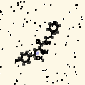 C/C(=C\C(=N)C(=O)NCCc1ccncc1)c1ccc(F)cc1